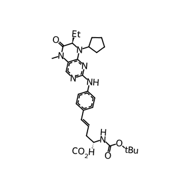 CC[C@@H]1C(=O)N(C)c2cnc(Nc3ccc(/C=C/C[C@H](NC(=O)OC(C)(C)C)C(=O)O)cc3)nc2N1C1CCCC1